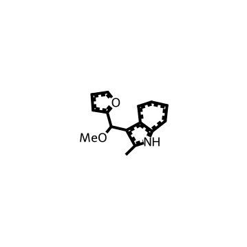 COC(c1ccco1)c1c(C)[nH]c2ccccc12